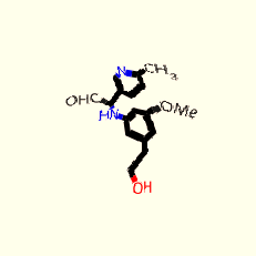 COc1cc(CCO)cc(NC(C=O)c2ccc(C)nc2)c1